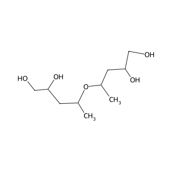 CC(CC(O)CO)OC(C)CC(O)CO